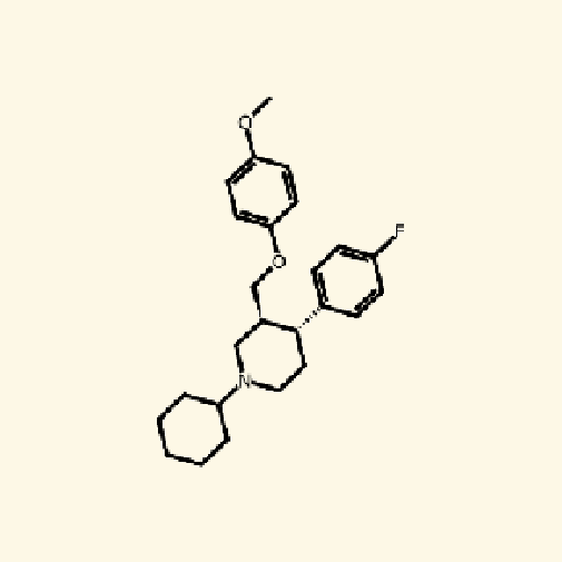 COc1ccc(OC[C@@H]2CN(C3CCCCC3)CC[C@H]2c2ccc(F)cc2)cc1